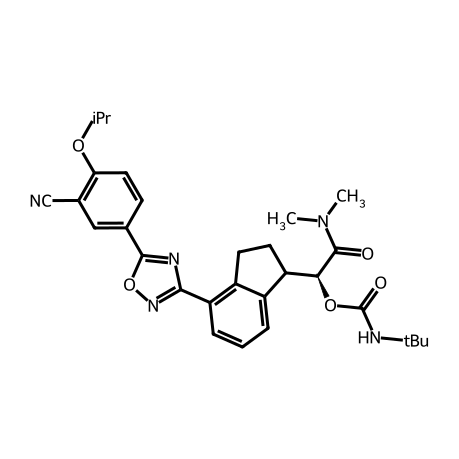 CC(C)Oc1ccc(-c2nc(-c3cccc4c3CCC4[C@H](OC(=O)NC(C)(C)C)C(=O)N(C)C)no2)cc1C#N